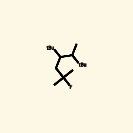 CC(C(CC(C)(C)F)C(C)(C)C)C(C)(C)C